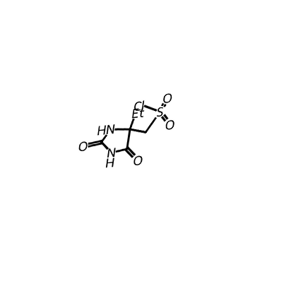 CCC1(CS(=O)(=O)Cl)NC(=O)NC1=O